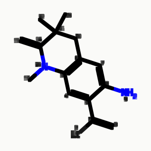 C=C(CC)c1cc2c(cc1N)CC(C)(C)C(=C)N2C